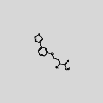 [N]C(CCOc1cccc(-c2ccsc2)c1)C(=O)O